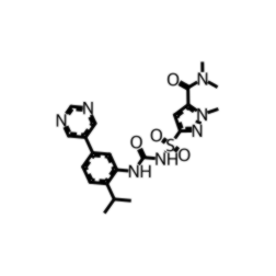 CC(C)c1ccc(-c2cncnc2)cc1NC(=O)NS(=O)(=O)c1cc(C(=O)N(C)C)n(C)n1